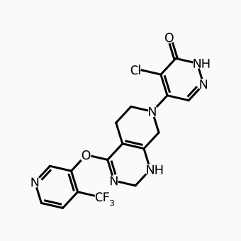 O=c1[nH]ncc(N2CCC3=C(C2)NCN=C3Oc2cnccc2C(F)(F)F)c1Cl